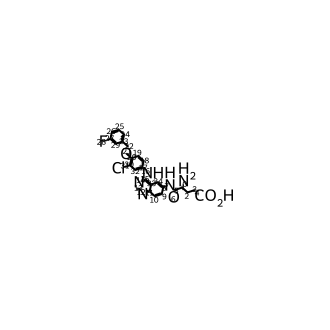 N[C@@H](CCC(=O)O)C(=O)Nc1ccc2ncnc(Nc3ccc(OCc4cccc(F)c4)c(Cl)c3)c2c1